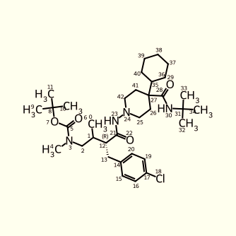 CC(CN(C)C(=O)OC(C)(C)C)[C@@H](Cc1ccc(Cl)cc1)C(=O)NN1CCC(C(=O)NC(C)(C)C)(C2CCCCC2)CC1